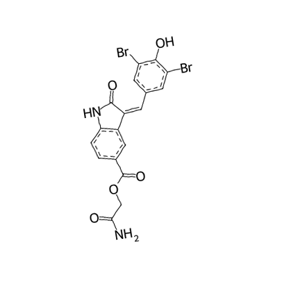 NC(=O)COC(=O)c1ccc2c(c1)C(=Cc1cc(Br)c(O)c(Br)c1)C(=O)N2